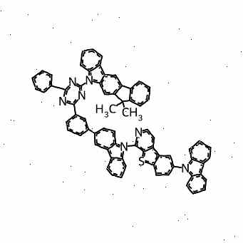 CC1(C)c2ccccc2-c2cc3c4ccccc4n(-c4nc(-c5ccccc5)nc(-c5cccc(-c6ccc7c(c6)c6ccccc6n7-c6nccc7c6sc6ccc(-n8c9ccccc9c9ccccc98)cc67)c5)n4)c3cc21